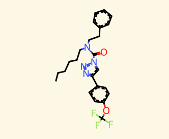 CCCCCCN(CCc1ccccc1)C(=O)n1cc(-c2ccc(OC(F)(F)F)cc2)nn1